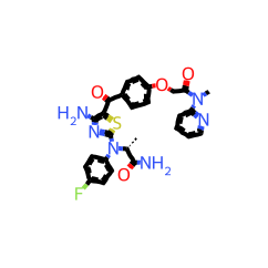 C[C@H](C(N)=O)N(c1ccc(F)cc1)c1nc(N)c(C(=O)c2ccc(OCC(=O)N(C)c3ccccn3)cc2)s1